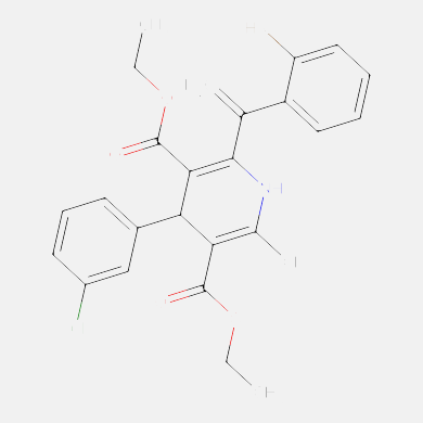 C=C(C1=C(C(=O)OCC)C(c2cccc(Cl)c2)C(C(=O)OCC)=C(C)N1)c1ccccc1S